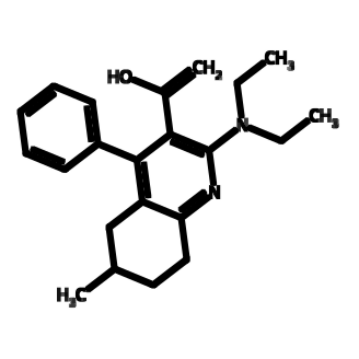 C=C(O)c1c(N(CC)CC)nc2c(c1-c1ccccc1)CC(C)CC2